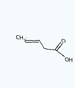 C=CCC(=O)O.[CH3]